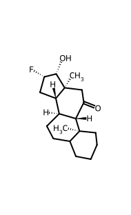 C[C@]12CC(=O)[C@H]3[C@@H](CCC4CCCC[C@@]43C)[C@@H]1C[C@H](F)[C@@H]2O